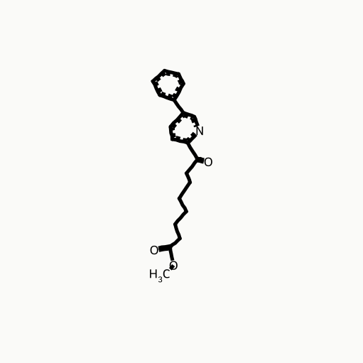 COC(=O)CCCCCCC(=O)c1ccc(-c2ccccc2)cn1